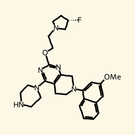 COc1cc(N2CCc3c(nc(OCCN4CC[C@H](F)C4)nc3N3CCNCC3)C2)c2ccccc2c1